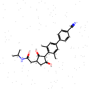 Cc1cc(-c2ccc(C#N)cc2)cc(C)c1C1C(=O)CC(CC(=O)NC(C)C)C1=O